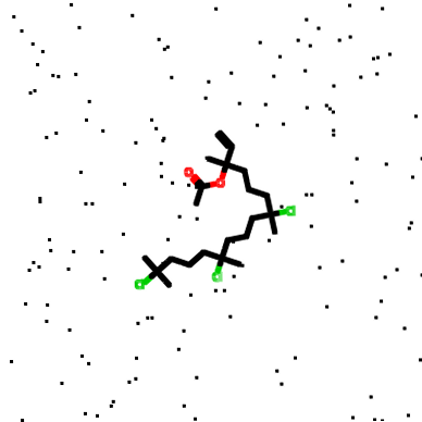 C=CC(C)(CCCC(C)(Cl)CCCC(C)(Cl)CCCC(C)(C)Cl)OC(C)=O